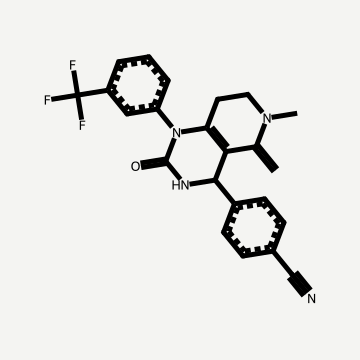 C=C1C2=C(CCN1C)N(c1cccc(C(F)(F)F)c1)C(=O)NC2c1ccc(C#N)cc1